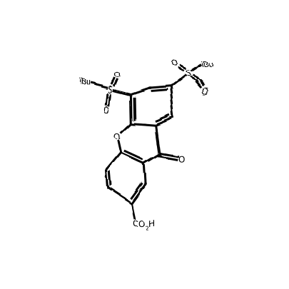 CCC(C)S(=O)(=O)c1cc(S(=O)(=O)C(C)CC)c2oc3ccc(C(=O)O)cc3c(=O)c2c1